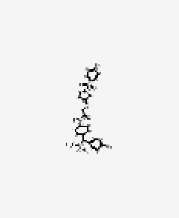 CN(C)C(c1ccc(F)cc1)C1CCC(NC(=O)COC2CCN(S(=O)(=O)c3ccc(F)cc3)C2)CC1